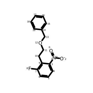 O=[N+]([O-])c1cccc(F)c1CCOCc1ccccc1